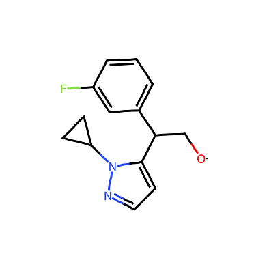 [O]CC(c1cccc(F)c1)c1ccnn1C1CC1